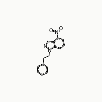 O=[N+]([O-])c1cccc2c1cnn2CCc1ccccc1